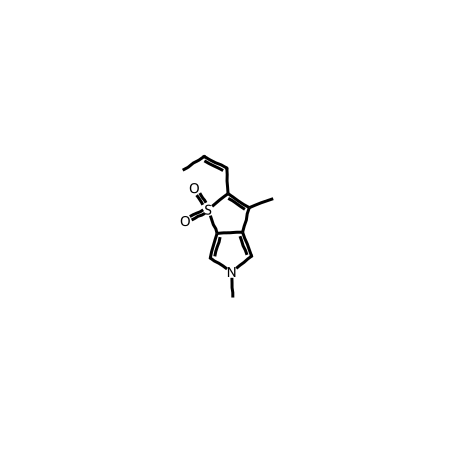 C/C=C\C1=C(C)c2cn(C)cc2S1(=O)=O